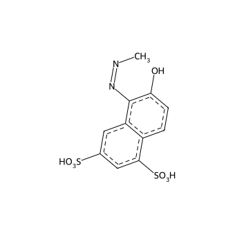 C/N=N\c1c(O)ccc2c(S(=O)(=O)O)cc(S(=O)(=O)O)cc12